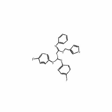 Fc1ccc(SC(CC(=Nc2ccccc2)SCc2ccsc2)Sc2ccc(F)cc2)cc1